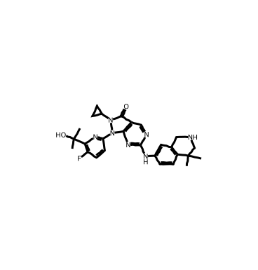 CC(C)(O)c1nc(-n2c3nc(Nc4ccc5c(c4)CNCC5(C)C)ncc3c(=O)n2C2CC2)ccc1F